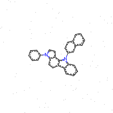 c1ccc(-n2ccc3c2ccc2c4ccccc4n(-c4ccc5ccccc5c4)c23)cc1